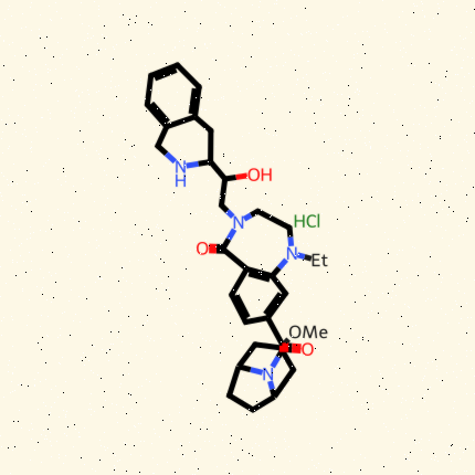 CCN1CCN(CC(O)C2Cc3ccccc3CN2)C(=O)c2ccc(C(=O)N3C4CCC3CC(OC)C4)cc21.Cl